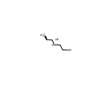 C=CCNCCCCC.F